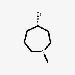 CC[C@H]1CCCN(C)CC1